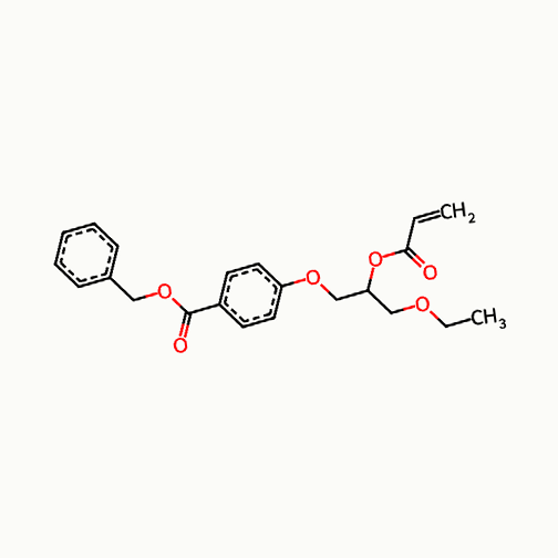 C=CC(=O)OC(COCC)COc1ccc(C(=O)OCc2ccccc2)cc1